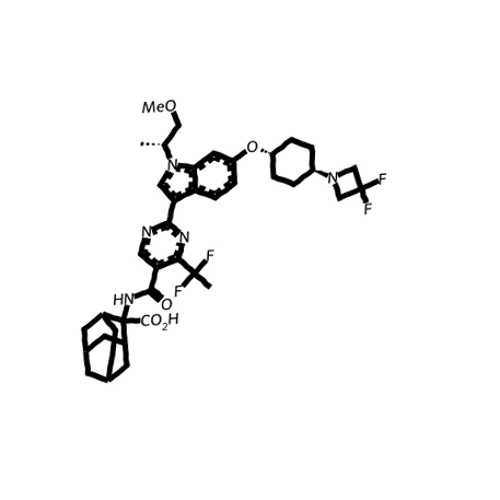 COC[C@@H](C)n1cc(-c2ncc(C(=O)NC3(C(=O)O)C4CC5CC(C4)CC3C5)c(C(C)(F)F)n2)c2ccc(O[C@H]3CC[C@H](N4CC(F)(F)C4)CC3)cc21